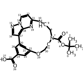 CC(C)(C)OC(=O)N1CCNc2ccn3ncc(c3n2)-c2cc(cc(C(=O)O)c2)OCC1